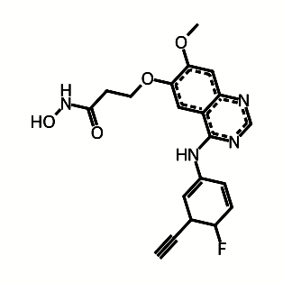 C#CC1C=C(Nc2ncnc3cc(OC)c(OCCC(=O)NO)cc23)C=CC1F